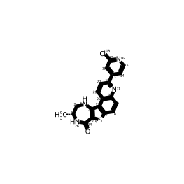 C[C@@H]1CNc2c(sc3ccc4nc(-c5ccnc(Cl)c5)ccc4c23)C(=O)N1